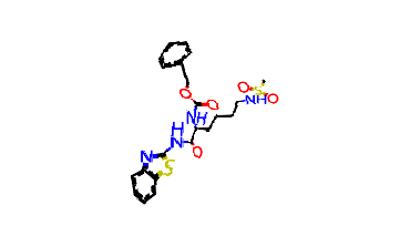 CS(=O)(=O)NCCCC[C@H](NC(=O)OCc1ccccc1)C(=O)Nc1nc2ccccc2s1